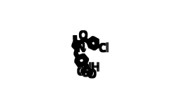 Cc1cc(Cc2ccc(NS(C)(=O)=O)cc2)n(C)c1C(=O)c1ccc(Cl)cc1